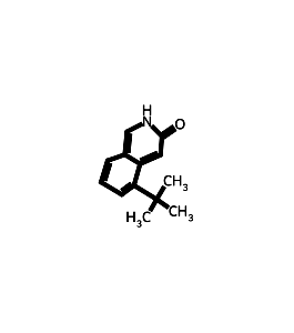 CC(C)(C)c1cccc2c[nH]c(=O)cc12